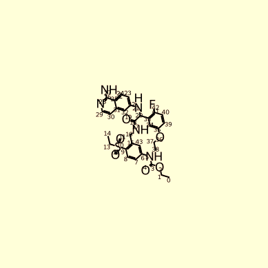 CCOC(=O)Nc1ccc(S(=O)(=O)CC)c(CNC(=O)C(Nc2ccc3c(N)nccc3c2)c2cc(OCC)ccc2F)c1